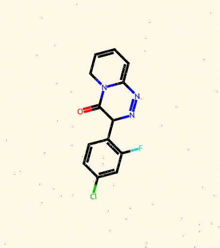 O=C1C(c2ccc(Cl)cc2F)N=NC2=CC=CCN12